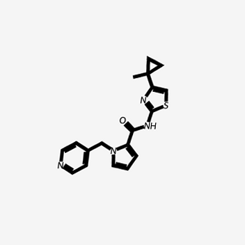 CC1(c2csc(NC(=O)c3cccn3Cc3ccncc3)n2)CC1